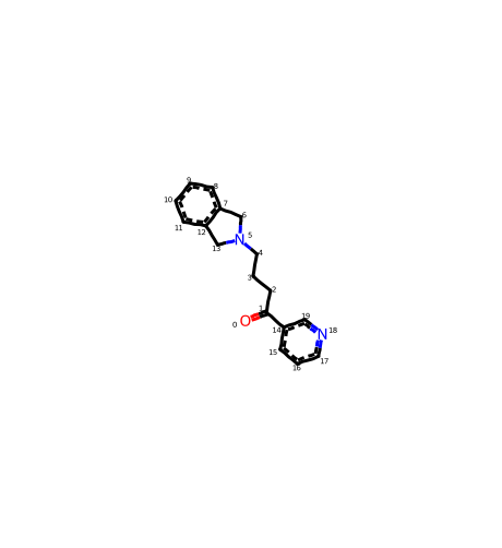 O=C(CCCN1Cc2ccccc2C1)c1cccnc1